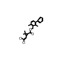 Cc1ccc(-c2ccccc2)c(C)c1COC(=O)C1C(C=C(Cl)Cl)C1(C)C